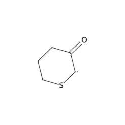 O=C1[CH]SCCC1